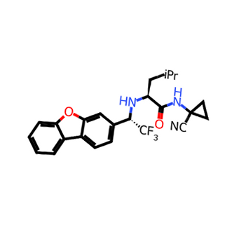 CC(C)C[C@H](N[C@@H](c1ccc2c(c1)oc1ccccc12)C(F)(F)F)C(=O)NC1(C#N)CC1